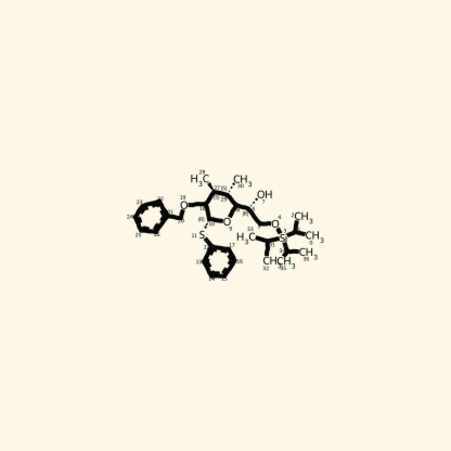 CC(C)[Si](OC[C@@H](O)C1O[C@H](Sc2ccccc2)C(OCc2ccccc2)[C@@H](C)[C@@H]1C)(C(C)C)C(C)C